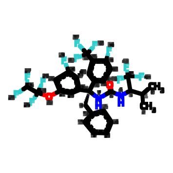 CC(C)C(NC(=O)N[C@@](Cc1ccccc1)(c1cc(F)cc(OC(F)(F)C(F)F)c1)c1ccc(F)c(C(F)(F)F)c1)C(F)(F)F